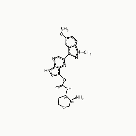 COc1ccc2c(c1)c(-c1cnc3[nH]cc(OC(=O)N[C@@H]4CCOC[C@@H]4N)c3n1)nn2C